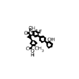 Cc1ccc(C2CC23C(=O)N(C)c2cc(F)c(-c4ccc(-c5ccccc5O)cc4)cc23)cc1C(=O)O